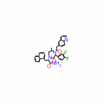 CC1CCN(C(Cc2cccc3ccccc23)C(N)=O)C(=O)C(c2ccc(F)c(F)c2)N1C(=O)Cc1ccc2ncccc2c1